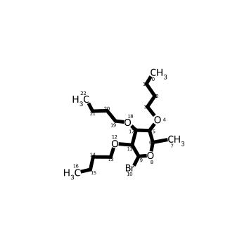 CCCCOC1C(C)OC(Br)C(OCCCC)C1OCCCC